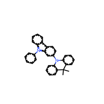 CC1(C)c2ccccc2N(c2ccc3c4ccccc4n(-c4ccccc4)c3c2)c2ccccc21